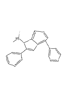 [CH3][Hf]([CH3])[CH]1C(c2ccccc2)=Cc2c(-c3ccccc3)cccc21